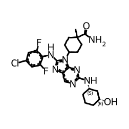 CC1(C(N)=O)CCC(n2c(Nc3c(F)cc(Cl)cc3F)nc3cnc(N[C@H]4CCC[C@@H](O)C4)nc32)CC1